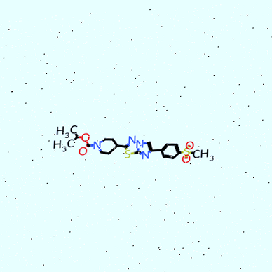 CC(C)OC(=O)N1CCC(c2nn3cc(-c4ccc(S(C)(=O)=O)cc4)nc3s2)CC1